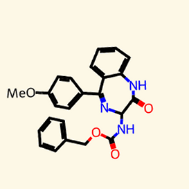 COc1ccc(C2=NC(NC(=O)OCc3ccccc3)C(=O)Nc3ccccc32)cc1